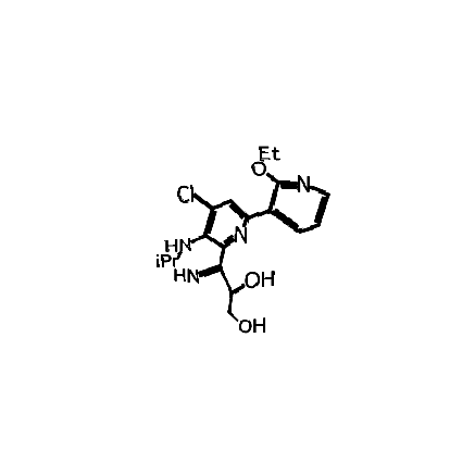 CCOc1ncccc1-c1cc(Cl)c(NC(C)C)c(C(=N)C(O)CO)n1